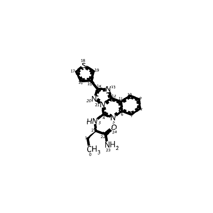 CC[C@@H](Nc1nc2ccccc2c2nc(-c3ccsc3)nn12)C(N)=O